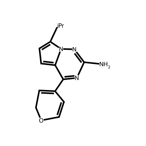 CC(C)c1ccc2c(C3=CCOC=C3)nc(N)nn12